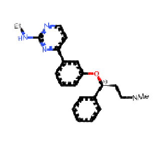 CCNc1nccc(-c2cccc(O[C@@H](CCNC)c3ccccc3)c2)n1